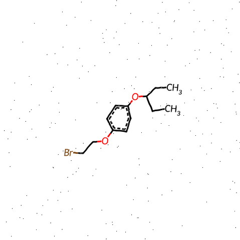 CCC(CC)Oc1ccc(OCCBr)cc1